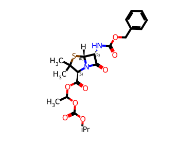 CC(C)OC(=O)OC(C)OC(=O)[C@@H]1N2C(=O)[C@@H](NC(=O)OCc3ccccc3)[C@H]2SC1(C)C